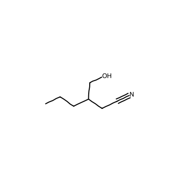 CCCC(CO)CC#N